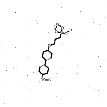 CCCCC[C@H]1CC[C@H]([C@H]2CC[C@H](OCCC[Si](OCC)(OCC)OCC)CC2)CC1